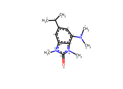 CC(C)c1cc(N(C)C)c2c(c1)n(C)c(=O)n2C